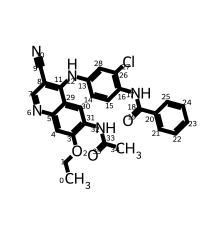 CCOc1cc2ncc(C#N)c(Nc3ccc(NC(=O)c4ccccc4)c(Cl)c3)c2cc1NC(C)=O